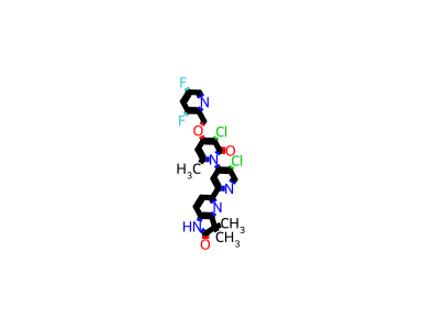 Cc1cc(OCc2ncc(F)cc2F)c(Cl)c(=O)n1-c1cc(-c2ccc3c(n2)C(C)(C)C(=O)N3)ncc1Cl